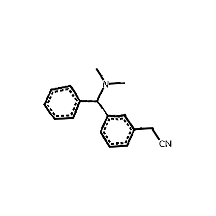 CN(C)C(c1ccccc1)c1cccc(CC#N)c1